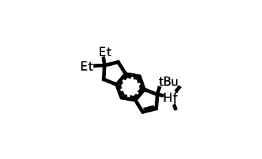 CCC1(CC)Cc2cc3c(cc2C1)[C]([Hf]([CH3])[CH3])(C(C)(C)C)C=C3